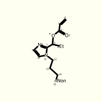 C=CC(=O)OC(CC)c1nccn1CCCCCCCCCCCC